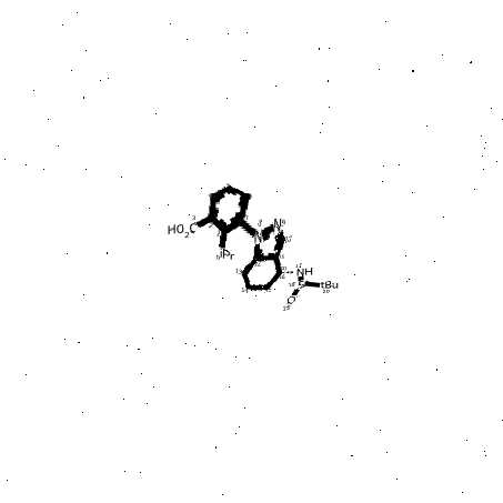 CC(C)c1c(C(=O)O)cccc1-n1ncc2c1CCC[C@H]2N[S+]([O-])C(C)(C)C